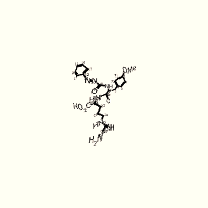 COc1ccc(C[C@H](NC(=O)N=Nc2ccccc2)C(=O)N[C@@H](CCCNC(=N)N)C(=O)O)cc1